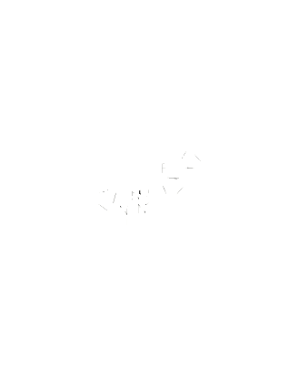 Cc1ccccc1Nc1noc(C(C)c2ccc(-c3ccccc3)c(F)c2)n1